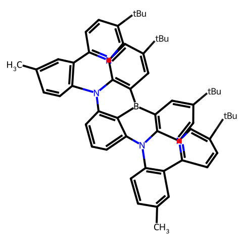 Cc1ccc(N2c3ccc(C(C)(C)C)cc3B3c4cc(C(C)(C)C)ccc4N(c4ccc(C)cc4-c4ccc(C(C)(C)C)cn4)c4cccc2c43)c(-c2ccc(C(C)(C)C)cn2)c1